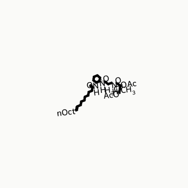 CCCCCCCCC=CCCCCCCCC(=O)N[C@H]1CCCC[C@@H]1NC(=O)CCNC(=O)[C@H](OC(C)=O)C(C)(C)COC(C)=O